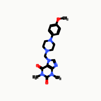 COc1ccc(N2CCN(Cn3cnc4c3c(=O)n(C)c(=O)n4C)CC2)cc1